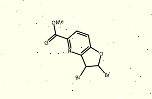 COC(=O)c1ccc2c(n1)C(Br)C(Br)O2